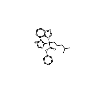 CC(C)CCCC(C(=O)Oc1ccccc1)(c1nn[nH]n1)n1cnc2ccccc21